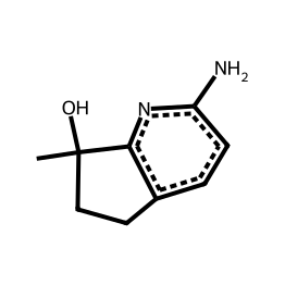 CC1(O)CCc2ccc(N)nc21